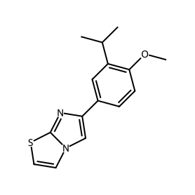 COc1ccc(-c2cn3ccsc3n2)cc1C(C)C